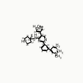 C=C/C(=C\N(C)C)c1cccc(-c2ncc(C(/C=N\C)=C/C)c(NCC3(F)CCNCC3)n2)c1